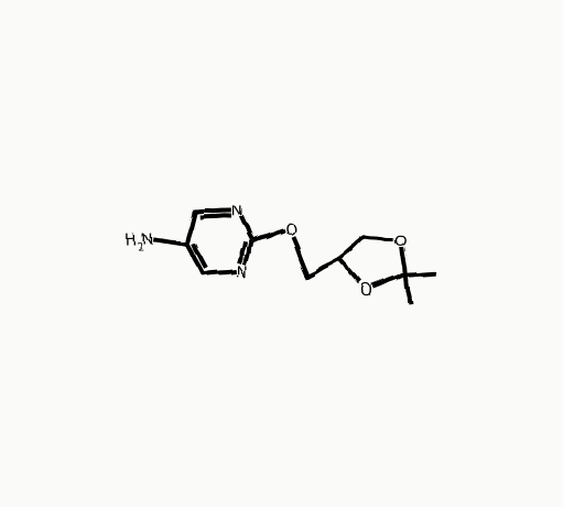 CC1(C)OCC(COc2ncc(N)cn2)O1